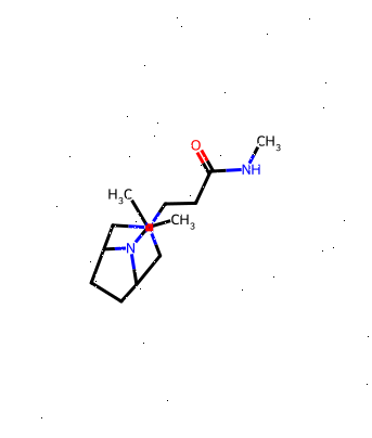 CNC(=O)CCN1CC2CCC(C1)N2C(C)C